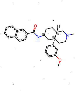 COc1cccc([C@@]23CCN(C)C[C@H]2CC[C@H](NC(=O)c2ccc4ccccc4c2)C3)c1